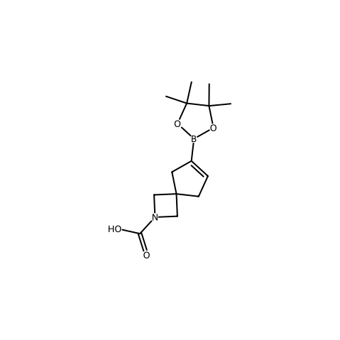 CC1(C)OB(C2=CCC3(C2)CN(C(=O)O)C3)OC1(C)C